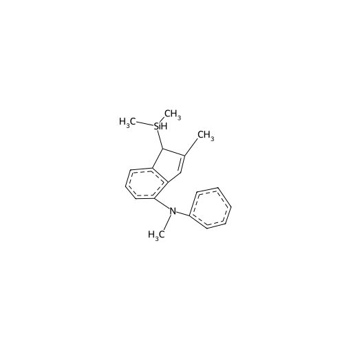 CC1=Cc2c(cccc2N(C)c2ccccc2)C1[SiH](C)C